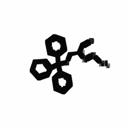 NN=N[C@H](C=O)CSC(C1=CCCC=C1)(c1ccccc1)c1ccccc1